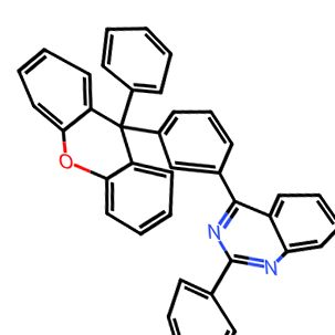 c1ccc(-c2nc(-c3cccc(C4(c5ccccc5)c5ccccc5Oc5ccccc54)c3)c3ccccc3n2)cc1